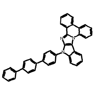 c1ccc(-c2ccc(-c3ccc(-n4c5ccccc5c5c4nc4c6ccccc6c6ccccc6n45)cc3)cc2)cc1